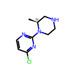 C[C@H]1CNCCN1c1nccc(Cl)n1